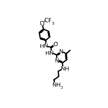 Cc1cc(NCCCN)nc(NC(=O)Nc2ccc(OC(F)(F)F)cc2)n1